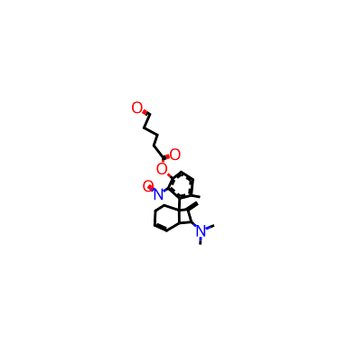 C=C1C(N(C)C)C2C=CCCC12c1c(C)ccc(OC(=O)CCCC=O)c1N=O